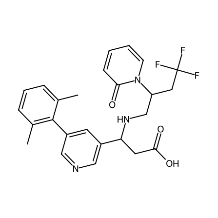 Cc1cccc(C)c1-c1cncc(C(CC(=O)O)NCC(CC(F)(F)F)n2ccccc2=O)c1